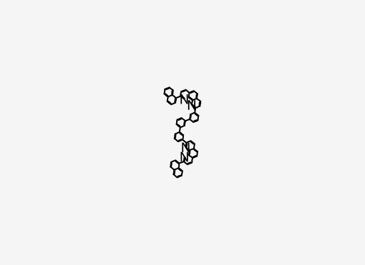 c1cc(-c2cccc(-c3ccc4ccc5ccc(-c6cccc7ccccc67)nc5c4n3)c2)cc(-c2cccc(-c3ccc4ccc5ccc(-c6cccc7ccccc67)nc5c4n3)c2)c1